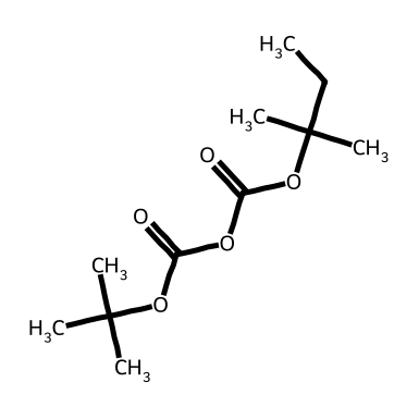 CCC(C)(C)OC(=O)OC(=O)OC(C)(C)C